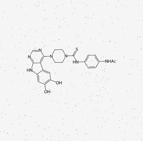 CC(=O)Nc1ccc(NC(=S)N2CCN(c3ncnc4[nH]c5cc(O)c(O)cc5c34)CC2)cc1